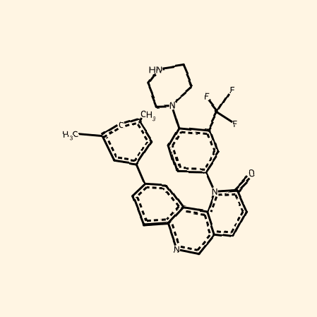 Cc1cc(C)cc(-c2ccc3ncc4ccc(=O)n(-c5ccc(N6CCNCC6)c(C(F)(F)F)c5)c4c3c2)c1